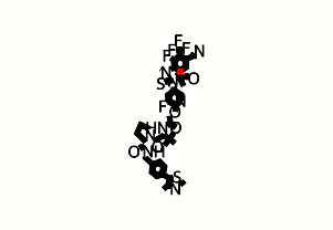 Cc1ncsc1-c1ccc(CNC(=O)[C@@H]2CCCN2C(=O)C(NC(=O)COc2ncc(N(C(=S)N(C)c3ccc(C#N)c(C(F)(F)F)c3F)C(C)(C)C=O)cc2F)C(C)(C)C)cc1